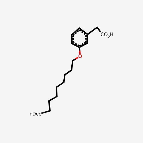 CCCCCCCCCCCCCCCCCCOc1cccc(CC(=O)O)c1